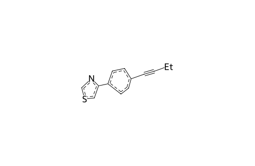 CCC#Cc1ccc(-c2cscn2)cc1